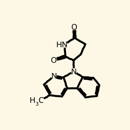 Cc1cnc2c(c1)c1ccccc1n2C1CCC(=O)NC1=O